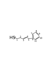 SCCC=CCc1ccccc1